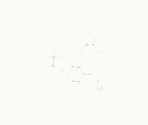 N#Cc1ccsc1CSc1c(Cl)ccc2c1CCNCC2.O=C(O)C(F)(F)F